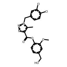 COc1cc(CO)ccc1OC(=O)c1nnn(Cc2ccc(Cl)c(Cl)c2)c1C